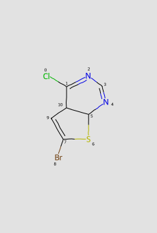 ClC1=NC=NC2SC(Br)=CC12